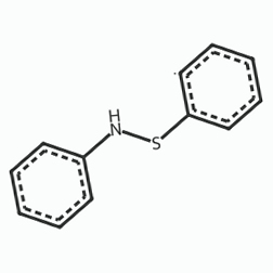 [c]1ccccc1SNc1ccccc1